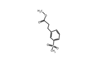 COC(=O)CCc1cccc(S(C)(=O)=O)c1